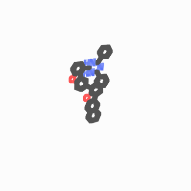 c1ccc(C2=NC(c3ccccc3)NC(c3cccc4oc5ccc(-c6cccc7c6oc6cc8ccccc8cc67)cc5c34)N2)cc1